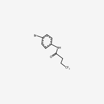 O=C(CCC(F)(F)F)Nc1ccc(Br)cc1